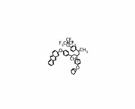 CC(CC(CC(C)c1ccc(OC(C(F)(F)F)(C(F)(F)F)C(F)(F)F)cc1)c1ccc(OC2CC3CCC2C3)cc1)c1ccc(Oc2ccc3cc4ccccc4cc3c2)cc1